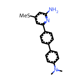 CSc1cc(N)nc(-c2ccc(-c3ccc(N(C)C)cc3)cc2)c1